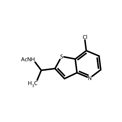 CC(=O)NC(C)c1cc2nccc(Cl)c2s1